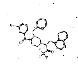 O=C(c1cccc(Br)c1)N1CCC(N(Cc2ccnc3ccccc23)C(=O)C(F)(F)F)CC1Cc1ccccc1